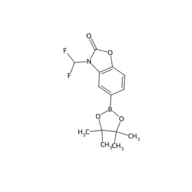 CC1(C)OB(c2ccc3oc(=O)n(C(F)F)c3c2)OC1(C)C